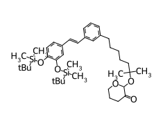 CC(C)(CCCCCc1cccc(C=Cc2ccc(O[Si](C)(C)C(C)(C)C)c(O[Si](C)(C)C(C)(C)C)c2)c1)OC1OCCCC1=O